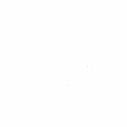 CCCCOC(=O)ON1CCc2c(F)ccc(-c3cc(CC(=O)O)ccc3OCC)c2C1